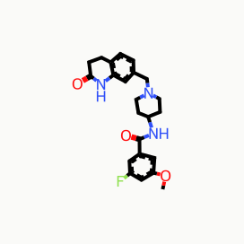 COc1cc(F)cc(C(=O)NC2CCN(Cc3ccc4c(c3)NC(=O)CC4)CC2)c1